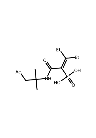 CCC(CC)=C(C(=O)NC(C)(C)CC(C)=O)P(=O)(O)O